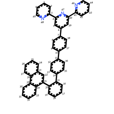 c1ccc(-c2cc(-c3ccc(-c4ccc(-c5ccccc5-c5cc6ccccc6c6ccccc56)cc4)cc3)cc(-c3ccccn3)n2)nc1